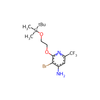 CC(C)(C)[Si](C)(C)OCCOc1nc(C(F)(F)F)cc(N)c1Br